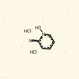 Cl.Cl.On1ccccc1=S